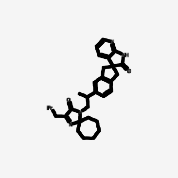 CC(C)CC1=NC2(CCCCCC2)N(CC(C)c2ccc3c(c2)CC2(C3)C(=O)Nc3ncccc32)C1=O